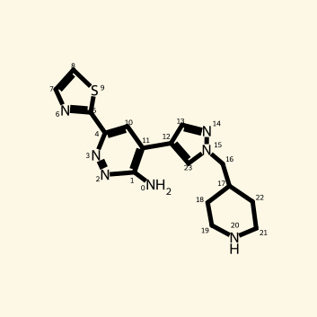 Nc1nnc(-c2nccs2)cc1-c1cnn(CC2CCNCC2)c1